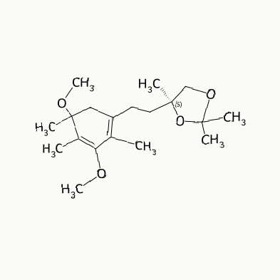 COC1=C(C)C(C)(OC)CC(CC[C@@]2(C)COC(C)(C)O2)=C1C